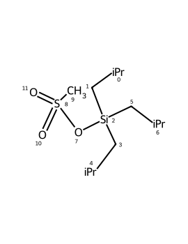 CC(C)C[Si](CC(C)C)(CC(C)C)OS(C)(=O)=O